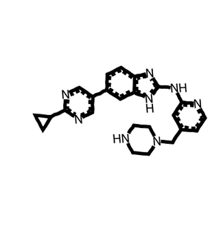 c1cc(CN2CCNCC2)cc(Nc2nc3ccc(-c4cnc(C5CC5)nc4)cc3[nH]2)n1